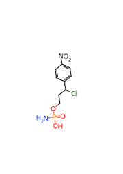 NP(=O)(O)OCCC(Cl)c1ccc([N+](=O)[O-])cc1